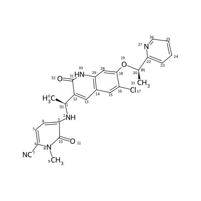 C[C@H](Nc1ccc(C#N)n(C)c1=O)c1cc2cc(Cl)c(O[C@H](C)c3ccccn3)cc2[nH]c1=O